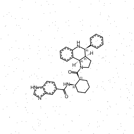 O=C(N[C@@H]1CCCC[C@@H]1C(=O)N1CC[C@@H]2[C@H](c3ccccc3)Nc3ccccc3[C@@H]21)c1ccc2[nH]cnc2c1